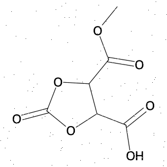 COC(=O)C1OC(=O)OC1C(=O)O